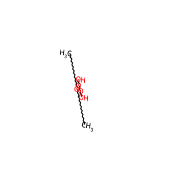 CCCCCCCCCCCCCCCCCCOCCCCCCCCCCCCCCCCCC.OCCOCCOCCO